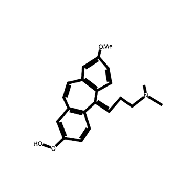 COc1ccc2c(c1)C=Cc1cc(OO)ccc1/C2=C/CCN(C)C